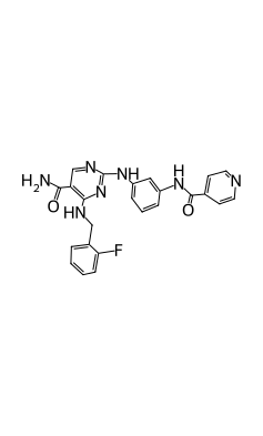 NC(=O)c1cnc(Nc2cccc(NC(=O)c3ccncc3)c2)nc1NCc1ccccc1F